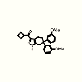 COc1cccc(C2(c3cccc(OC)c3)C=Cc3c(C(=O)C4CCC4)n[nH]c3C2)c1